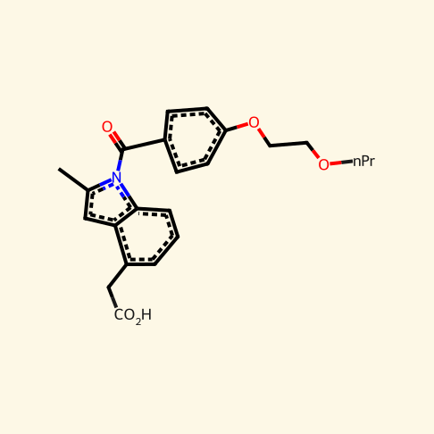 CCCOCCOc1ccc(C(=O)n2c(C)cc3c(CC(=O)O)cccc32)cc1